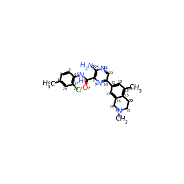 Cc1ccc(NC(=O)c2nc(-c3cc(C)c4c(c3)CN(C)CC4)cnc2N)c(Cl)c1